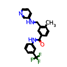 Cc1ccc(C(=O)Nc2cccc(C(F)(F)F)c2)cc1CNc1cccnc1